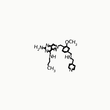 CCCCNc1nc(N)nc2cn(Cc3ccc(CNCc4ccncc4)cc3OC)nc12